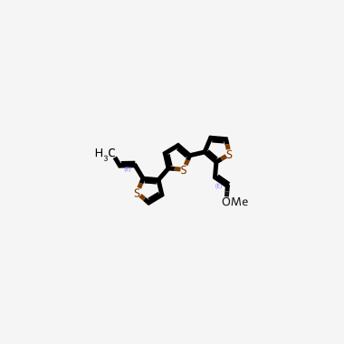 C/C=C/c1sccc1-c1ccc(-c2ccsc2/C=C/OC)s1